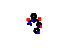 CN(C)C(=O)n1cc(C(=O)C2CON(c3cccnc3)C2)c2ccccc21